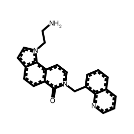 NCCn1ccc2ccc3c(=O)n(Cc4cccc5cccnc45)ccc3c21